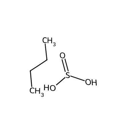 CCCC.O=S(O)O